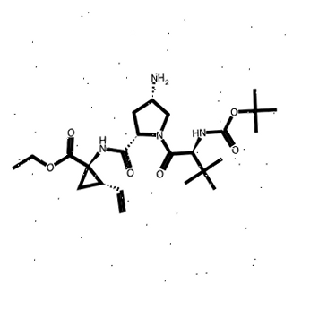 C=C[C@@H]1C[C@]1(NC(=O)[C@@H]1C[C@H](N)CN1C(=O)[C@@H](NC(=O)OC(C)(C)C)C(C)(C)C)C(=O)OCC